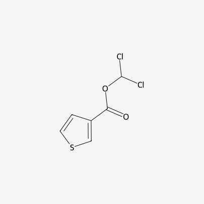 O=C(OC(Cl)Cl)c1ccsc1